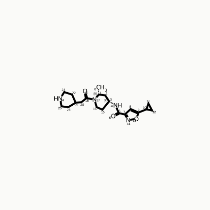 C[C@@H]1C[C@H](NC(=O)c2cc(C3CC3)on2)CCN1C(=O)CC1CCNCC1